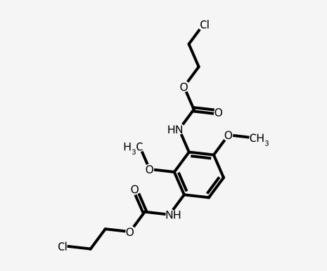 COc1ccc(NC(=O)OCCCl)c(OC)c1NC(=O)OCCCl